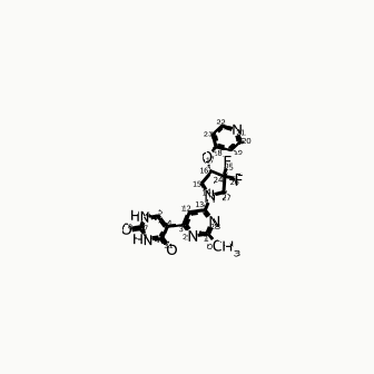 Cc1nc(-c2c[nH]c(=O)[nH]c2=O)cc(N2C[C@H](Oc3ccncc3)C(F)(F)C2)n1